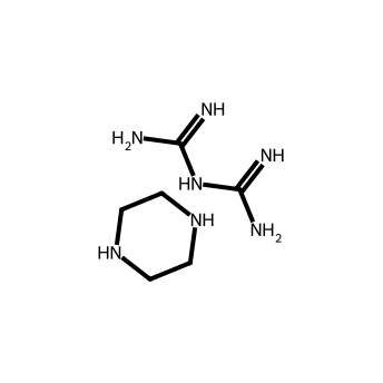 C1CNCCN1.N=C(N)NC(=N)N